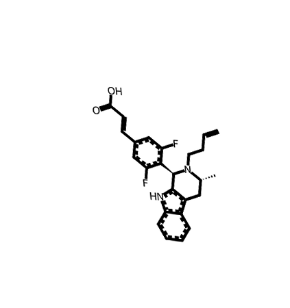 C=CCCN1[C@H](c2c(F)cc(/C=C/C(=O)O)cc2F)c2[nH]c3ccccc3c2C[C@H]1C